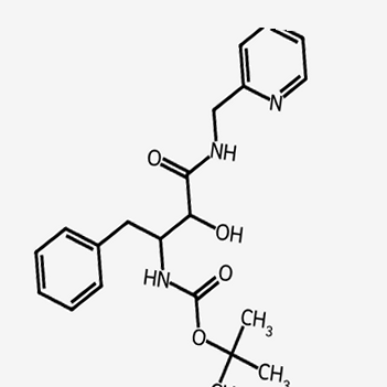 CC(C)(C)OC(=O)NC(Cc1ccccc1)C(O)C(=O)NCc1ccccn1